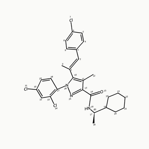 CC(=Cc1ccc(Cl)cc1)c1c(C)c(C(=O)N[C@H](C)C2CCCCC2)nn1-c1ccc(Cl)cc1Cl